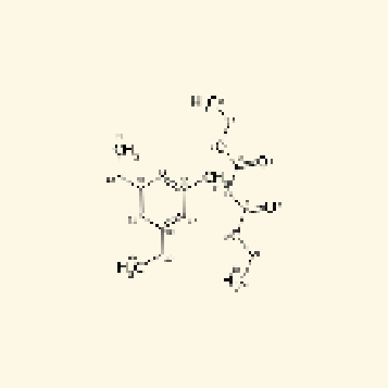 CCOC(=O)CC(=O)OCC.CCc1cc(C)cc(CC)c1